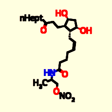 CCCCCCCC(=O)CC[C@@H]1[C@@H](C/C=C\CCCC(=O)NC(C)CO[N+](=O)[O-])[C@@H](O)C[C@H]1O